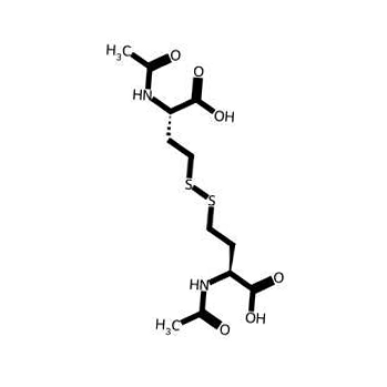 CC(=O)N[C@@H](CCSSCC[C@H](NC(C)=O)C(=O)O)C(=O)O